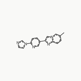 Cc1ccc2nc(-c3ccc(-n4ccnc4)nc3)cn2c1